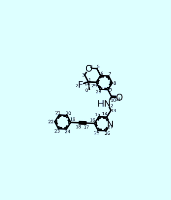 C[C@@]1(F)COCc2ccc(C(=O)NCc3cc(C#Cc4ccccc4)ccn3)cc21